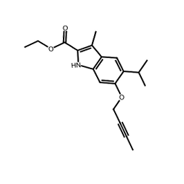 CC#CCOc1cc2[nH]c(C(=O)OCC)c(C)c2cc1C(C)C